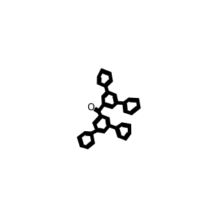 O=C(c1cc(-c2ccccc2)cc(-c2ccccc2)c1)c1cc(-c2ccccc2)cc(-c2ccccc2)c1